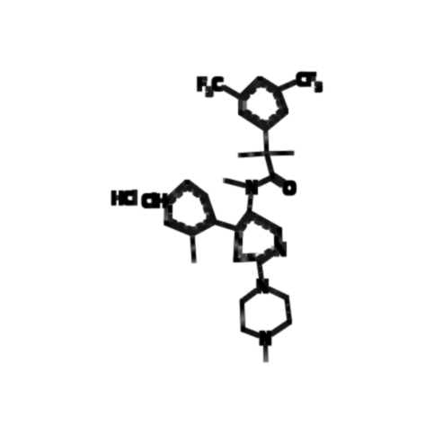 Cc1ccccc1-c1cc(N2CCN(C)CC2)ncc1N(C)C(=O)C(C)(C)c1cc(C(F)(F)F)cc(C(F)(F)F)c1.Cl.Cl